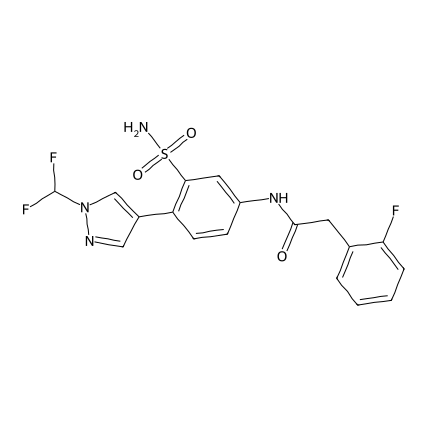 NS(=O)(=O)c1cc(NC(=O)Cc2ccccc2F)ccc1-c1cnn(C(F)F)c1